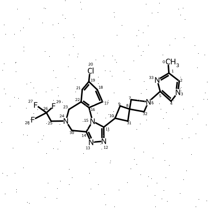 Cc1cncc(N2CC3(CC(c4nnc5n4-c4ccc(Cl)cc4CN(CC(F)(F)F)C5)C3)C2)n1